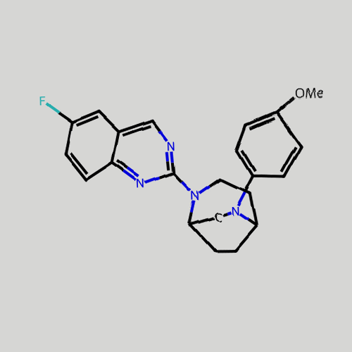 COc1ccc(N2CC3CCC2CCN3c2ncc3cc(F)ccc3n2)cc1